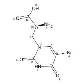 N[C@@H](Cn1cc(Br)c(=O)[nH]c1=O)C(=O)O